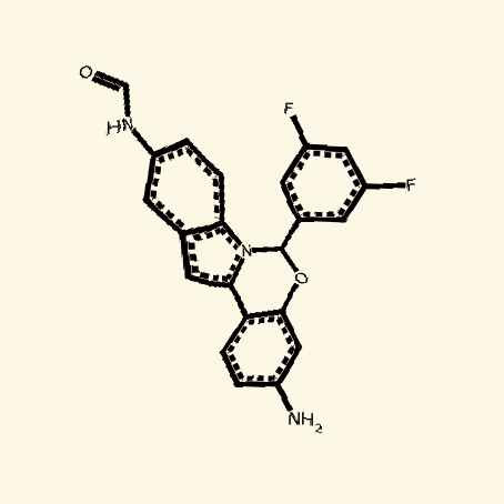 Nc1ccc2c(c1)OC(c1cc(F)cc(F)c1)n1c-2cc2cc(NC=O)ccc21